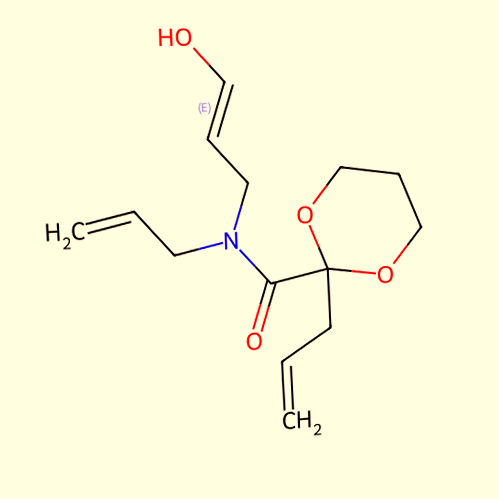 C=CCN(C/C=C/O)C(=O)C1(CC=C)OCCCO1